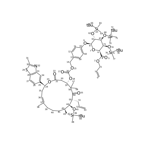 C=CCOC(=O)[C@H]1O[C@@H](Oc2ccc(COC(=O)O[C@H]3CC(=O)O[C@H](c4ccc5sc(C)nc5c4)C/C=C(/C)CCC[C@H](C)[C@H](O[Si](C)(C)C(C)(C)C)[C@@H](CC=C)C(=O)C3(C)C)cc2)[C@H](O[Si](C)(C)C(C)(C)C)[C@@H](O[Si](C)(C)C(C)(C)C)[C@H]1O[Si](C)(C)C(C)(C)C